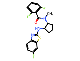 CN(C(=O)c1c(F)cccc1F)[C@H]1CCC[C@H]1Nc1nc2ccc(F)cc2s1